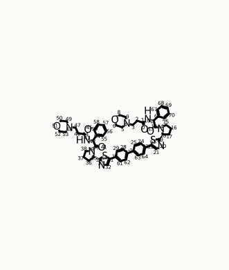 O=C(CCN1CCOCC1)N[C@@H](C(=O)N1CCC[C@H]1c1ncc(-c2ccc(-c3ccc(-c4cnc([C@@H]5CCCN5C(=O)[C@H](NC(=O)CCN5CCOCC5)c5ccccc5)s4)cc3)cc2)s1)c1ccccc1